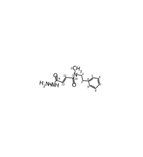 CN(CCc1ccccc1)C(=O)C=CC(=O)NN